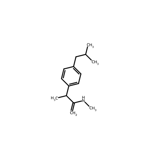 C=C(NC)C(C)c1ccc(CC(C)C)cc1